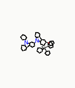 c1ccc(-c2cc3c4ccccc4n(-c4ccc5c6ccccc6n(-c6ccccc6)c5c4)c3cc2[Si](c2ccccc2)(c2ccccc2)c2ccccc2)cc1